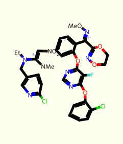 CCN(Cc1ccc(Cl)nc1)/C(=C/[N+](=O)[O-])NC.CO/N=C(/C1=NOCCO1)c1ccccc1Oc1ncnc(Oc2ccccc2Cl)c1F